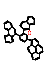 c1ccc2c(c1)cc(-c1ccc(-c3ccc4ccc5cccc6ccc3c4c56)c3oc4c5ccccc5ccc4c13)c1ccccc12